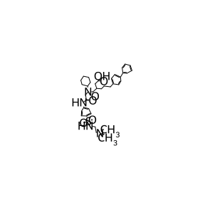 CN(C)CCNS(=O)(=O)c1ccc(NC(=O)CN(C(=O)C(CCCc2ccc(-c3ccccc3)cc2)CC(=O)O)C2CCCCC2)cc1